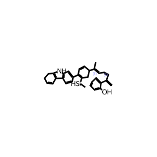 C=C(/C=C\C=C(/C)C1C=CC(c2ccc3c4c([nH]c3c2)CCC=C4)=C([SiH](C)C)C1)c1ccccc1O